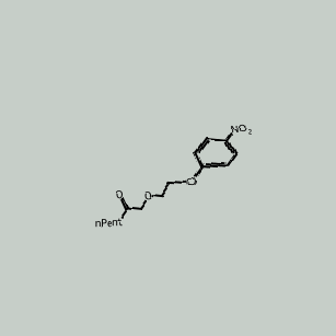 CCCCCC(=O)COCCOc1ccc([N+](=O)[O-])cc1